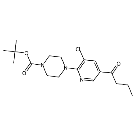 CCCC(=O)c1cnc(N2CCN(C(=O)OC(C)(C)C)CC2)c(Cl)c1